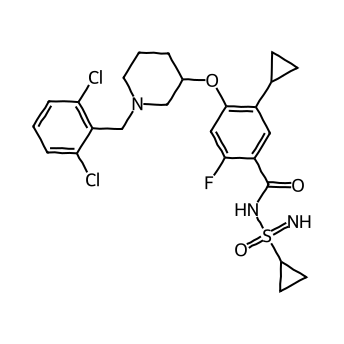 N=S(=O)(NC(=O)c1cc(C2CC2)c(OC2CCCN(Cc3c(Cl)cccc3Cl)C2)cc1F)C1CC1